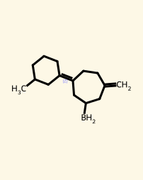 BC1CC(=C)CC/C(=C2\CCCC(C)C2)C1